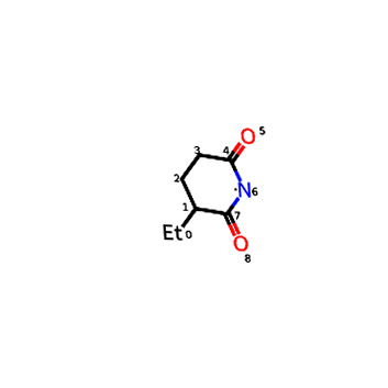 CCC1CCC(=O)[N]C1=O